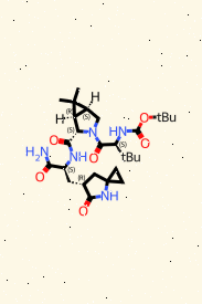 CC(C)(C)OC(=O)N[C@H](C(=O)N1C[C@H]2[C@@H]([C@H]1C(=O)N[C@@H](C[C@@H]1CC3(CC3)NC1=O)C(N)=O)C2(C)C)C(C)(C)C